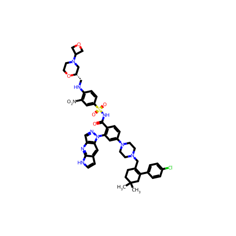 CC1(C)CCC(CN2CCN(c3ccc(C(=O)NS(=O)(=O)c4ccc(NC[C@H]5CN(C6COC6)CCO5)c([N+](=O)[O-])c4)c(-n4ncc5nc6[nH]ccc6cc54)c3)CC2)=C(c2ccc(Cl)cc2)C1